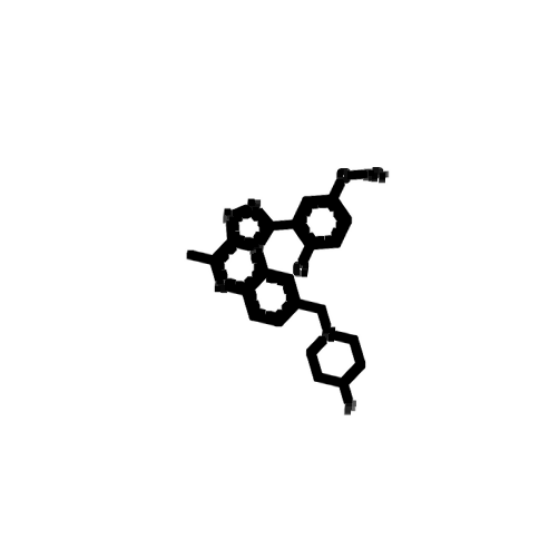 CCCOc1ccc(Cl)c(-c2nnc3c(C)nc4ccc(CN5CCC(F)CC5)cc4n23)c1